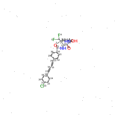 CC(=O)NC(C)(C(F)F)C(NC(=O)c1ccc(C#CC#Cc2ccc(Cl)cc2)cc1)C(=O)NO